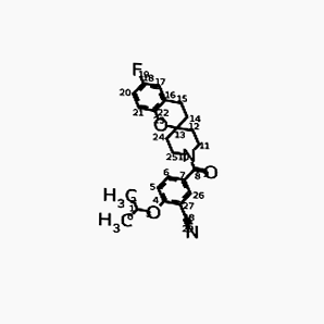 CC(C)Oc1ccc(C(=O)N2CCC3(CCc4cc(F)ccc4O3)CC2)cc1C#N